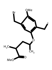 COC(=O)C(C)CC(C)Oc1cc(CBr)c(OC)cc1CI